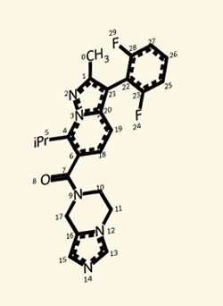 Cc1nn2c(C(C)C)c(C(=O)N3CCn4cncc4C3)ccc2c1-c1c(F)cccc1F